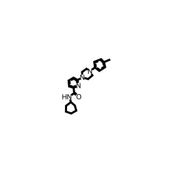 Cc1ccc(N2CCN(c3cccc(C(=O)NC4CCCCC4)n3)CC2)cc1